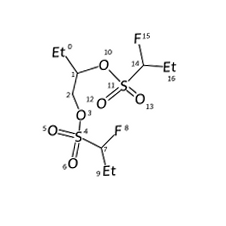 CCC(COS(=O)(=O)C(F)CC)OS(=O)(=O)C(F)CC